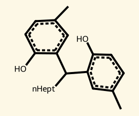 CCCCCCCC(c1cc(C)ccc1O)c1cc(C)ccc1O